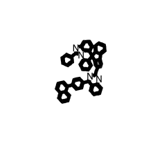 c1ccc(-c2nc3cccc4c3n2-c2ccccc2C42c3ccccc3-c3ccc(-c4nc(-c5ccc(-c6cccc7ccccc67)cc5)c5ccccc5n4)cc32)cc1